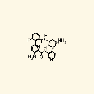 Nc1ccc(-c2c(F)cccc2F)nc1C(=O)Nc1cnccc1N1C[C@@H](N)C[C@@H](O)C1